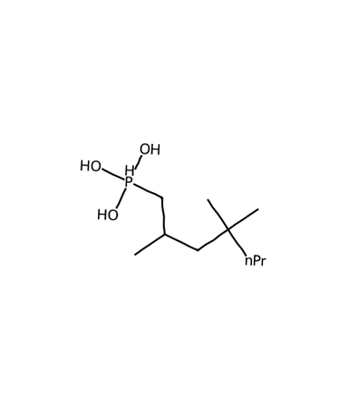 CCCC(C)(C)CC(C)C[PH](O)(O)O